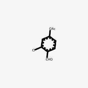 [CH2]C(=O)Oc1ccc(C=O)c(Cl)c1